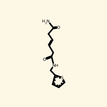 NC(=O)CC=CCC(=O)NCc1cccs1